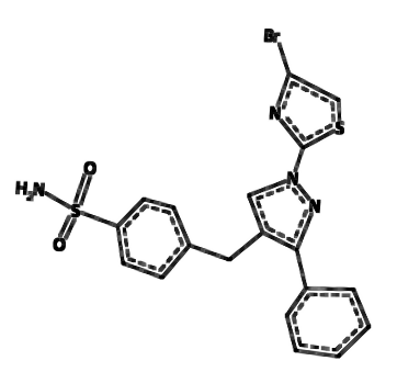 NS(=O)(=O)c1ccc(Cc2cn(-c3nc(Br)cs3)nc2-c2ccccc2)cc1